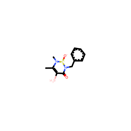 BC1=C(C)N(C)[S+]([O-])N(Cc2ccccc2)C1=O